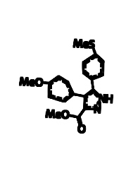 COC(=O)c1n[nH]c(-c2ccc(SC)cc2)c1-c1ccc(OC)cc1